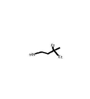 CCC(C)(CC)CC[NH]